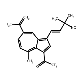 C=C(C)c1ccc(C)c2c(C(=O)C(F)(F)F)cc(C=CC(C)(C)N=O)c-2c1